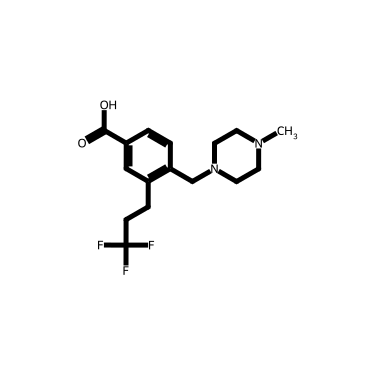 CN1CCN(Cc2ccc(C(=O)O)cc2CCC(F)(F)F)CC1